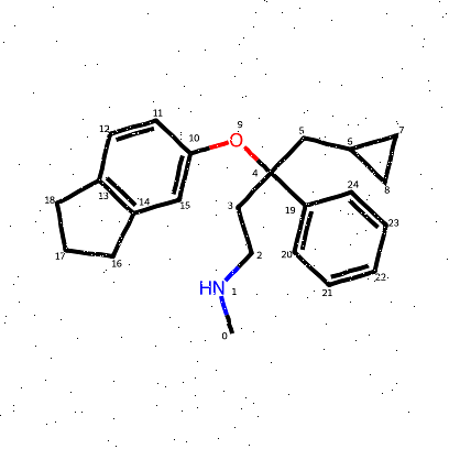 CNCCC(CC1CC1)(Oc1ccc2c(c1)CCC2)c1ccccc1